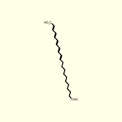 O=CCCCCCCCCCCC=CC=CC=CC=CC=CC(=O)O